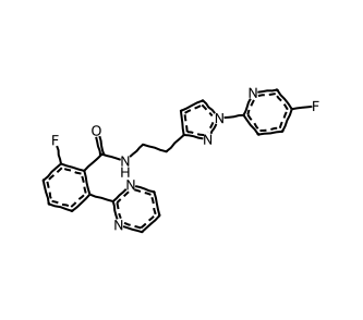 O=C(NCCc1ccn(-c2ccc(F)cn2)n1)c1c(F)cccc1-c1ncccn1